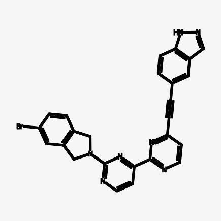 Brc1ccc2c(c1)CN(c1nccc(-c3nccc(C#Cc4ccc5[nH]ncc5c4)n3)n1)C2